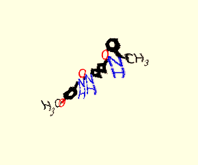 COc1ccc(CNC(=O)NC2CC3(C2)CC(C(=O)N[C@H](C)c2ccccc2)C3)cc1